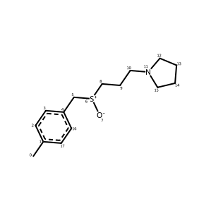 Cc1ccc(C[S+]([O-])CCCN2CCCC2)cc1